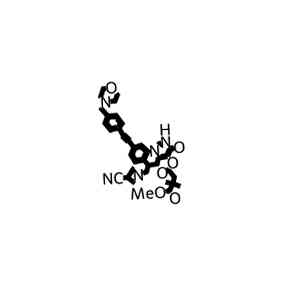 COC(=O)C(C)(C)CC(=O)Oc1c(CC(CN2CC(C#N)C2)c2ccc(C#Cc3ccc(CN4CCOCC4)cc3)cc2)nc[nH]c1=O